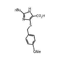 CCCCc1nc(SCc2ccc(OC)cc2)c(C(=O)O)[nH]1